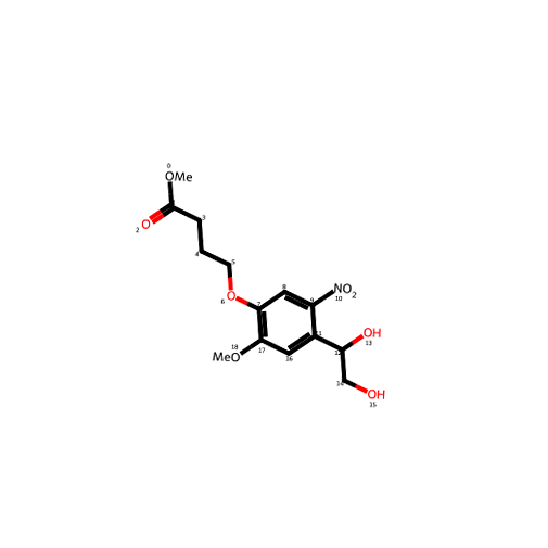 COC(=O)CCCOc1cc([N+](=O)[O-])c(C(O)CO)cc1OC